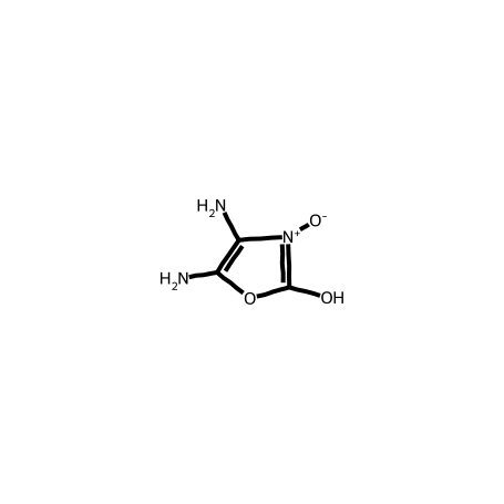 Nc1oc(O)[n+]([O-])c1N